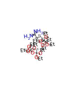 CCOC(C)(OCC)O[Si](OCC)(OCC)OCC.CCOC(CC)(OCC)[Si](CCC(N)N)(OCC)OCC